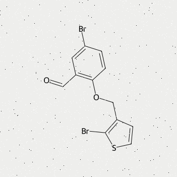 O=Cc1cc(Br)ccc1OCc1ccsc1Br